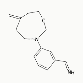 C=C1CCCCN(c2cccc(C=N)c2)CC1